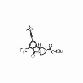 CC(C)(C)OC(=O)N1CCN2C(=O)c3c(cc(C#C[Si](C)(C)C)cc3C(F)(F)F)[C@@H]2C1